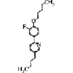 CCCCCOc1ccc(-c2ccc(CCCC)cn2)cc1F